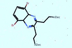 CCCCCCCCCCCCC1=NC2C(Br)=CC=C(Br)C2N=C1CCCCCCCCCCCC